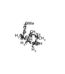 CCC1=C(C)c2cc3[nH]c(cc4nc(c(C)c5cc(C)c(cc1n2)[nH]5)[C@@H](CCC(=O)N(C)CCOCCOCCOC)[C@@H]4C)c(C)c3CO